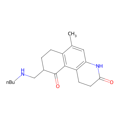 CCCCNCC1CCc2c(C)cc3c(c2C1=O)CCC(=O)N3